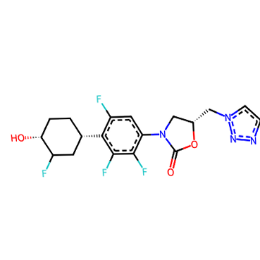 O=C1O[C@@H](Cn2ccnn2)CN1c1cc(F)c([C@H]2CC[C@@H](O)C(F)C2)c(F)c1F